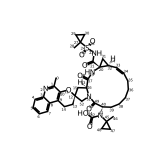 Cc1nc2ccccc2c2c1O[C@]1(CC2)C[C@H]2C(=O)N[C@]3(C(=O)NS(=O)(=O)C4(C)CC4)C[C@H]3/C=C\CCCCC[C@H](N(C(=O)O)C3(C)CC3)C(=O)N2C1